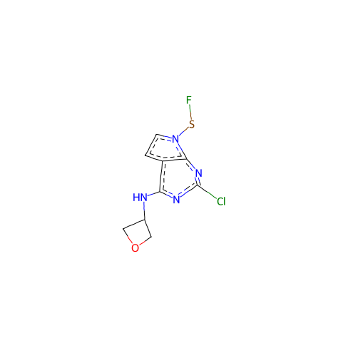 FSn1ccc2c(NC3COC3)nc(Cl)nc21